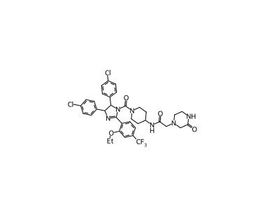 CCOc1cc(C(F)(F)F)ccc1C1=NC(c2ccc(Cl)cc2)C(c2ccc(Cl)cc2)N1C(=O)N1CCC(NC(=O)CN2CCNC(=O)C2)CC1